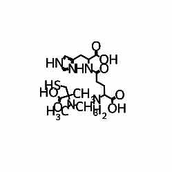 CN(C)C(C)(CS)C(=O)O.NC(CCC(=O)NC(Cc1c[nH]cn1)C(=O)O)C(=O)O